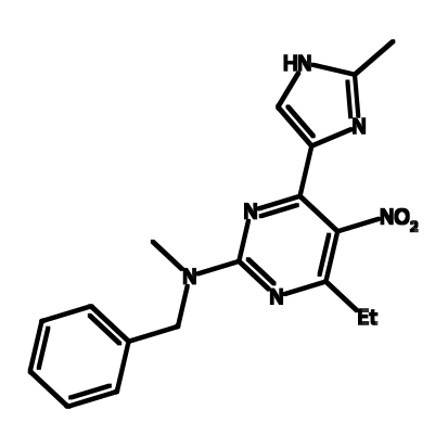 CCc1nc(N(C)Cc2ccccc2)nc(-c2c[nH]c(C)n2)c1[N+](=O)[O-]